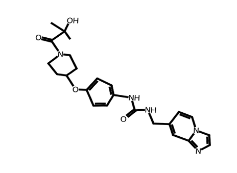 CC(C)(O)C(=O)N1CCC(Oc2ccc(NC(=O)NCc3ccn4ccnc4c3)cc2)CC1